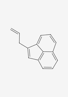 C=CCC1=Cc2cccc3cccc1c23